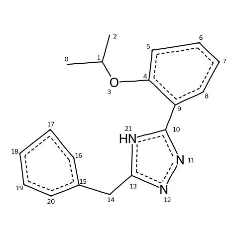 CC(C)Oc1ccccc1-c1nnc(Cc2ccccc2)[nH]1